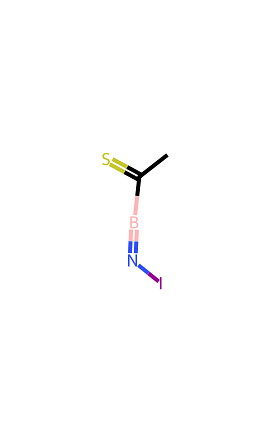 CC(=S)B=NI